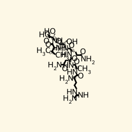 CC[C@H](C)[C@H](NC(=O)[C@H](CO)NC(=O)[C@H](CCC(N)=O)NC(=O)[C@H](CC(N)=O)NC(=O)[C@H](C)NC(=O)[C@@H](N)CCCNC(=N)N)C(=O)N[C@@H](CO)C(=O)O